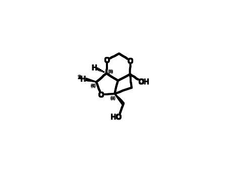 [3H][C@@H]1O[C@@]2(CO)CC3(O)OCO[C@H]1C32